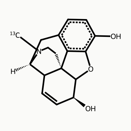 [13CH3]N1CC[C@]23c4c5ccc(O)c4OC2[C@@H](O)C=CC3[C@H]1C5